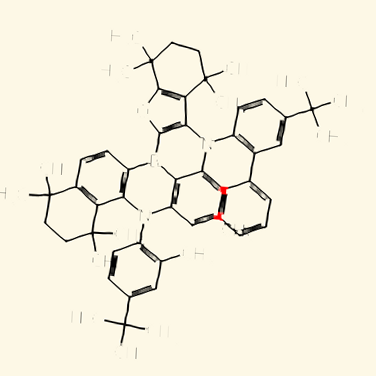 Cc1cc2c3c(c1)N(c1ccc(C(C)(C)C)cc1-c1ccccc1)c1c(oc4c1C(C)(C)CCC4(C)C)B3c1ccc3c(c1N2c1ccc(C(C)(C)C)cc1C)C(C)(C)CCC3(C)C